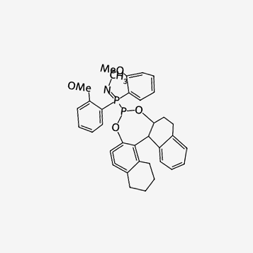 CN=P(c1ccccc1OC)(c1ccccc1OC)P1OC2=C=C=C3CCCCC3=C2C2c3ccccc3CCC2O1